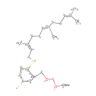 COOCOCc1cc(F)ccc1SC/C=C(\C)CC/C=C(\C)CCC=C(C)C